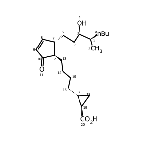 CCCC[C@@H](C)[C@H](O)CC[C@H]1C=CC(=O)[C@@H]1CCCC[C@@H]1C[C@H]1C(=O)O